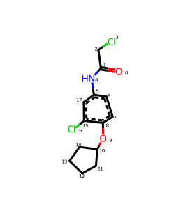 O=C(CCl)Nc1ccc(OC2CCCC2)c(Cl)c1